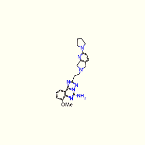 COc1cccc2c1nc(N)n1nc(CCN3Cc4ccc(N5CCCC5)nc4C3)nc21